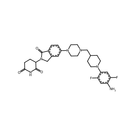 Nc1cc(F)c(N2CCC(CN3CCN(c4ccc5c(c4)CN(C4CCC(=O)NC4=O)C5=O)CC3)CC2)cc1F